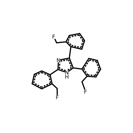 FCc1ccccc1-c1nc(-c2ccccc2CF)c(-c2ccccc2CF)[nH]1